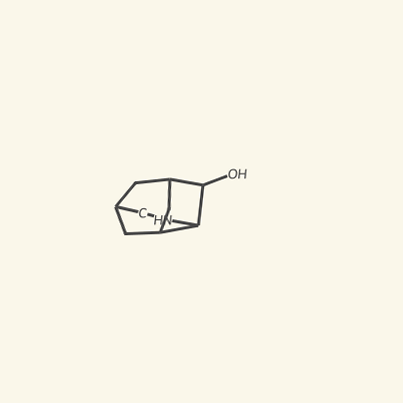 OC1C2CC3CNC1C(C3)C2